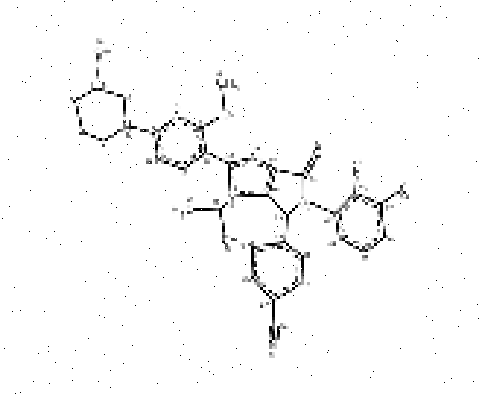 COc1nc(N2CCC[C@H](O)C2)ncc1-c1nc2c(n1C(C)C)C(c1ccc(C#N)cc1)N(c1cccc(Cl)c1F)C2=O